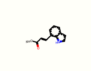 COC(=O)C=Cc1cccc2cc[nH]c12